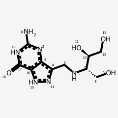 Nc1nc2c(CN[C@@H](CO)[C@@H](O)CO)n[nH]c2c(=O)[nH]1